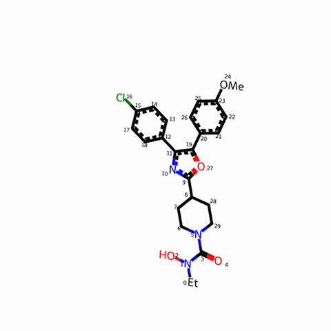 CCN(O)C(=O)N1CCC(c2nc(-c3ccc(Cl)cc3)c(-c3ccc(OC)cc3)o2)CC1